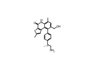 Cc1cc2c(s1)c(=O)[nH]c1c(C)cc(CO)c(-c3ccc([C@@H](C)CN)cc3)c12